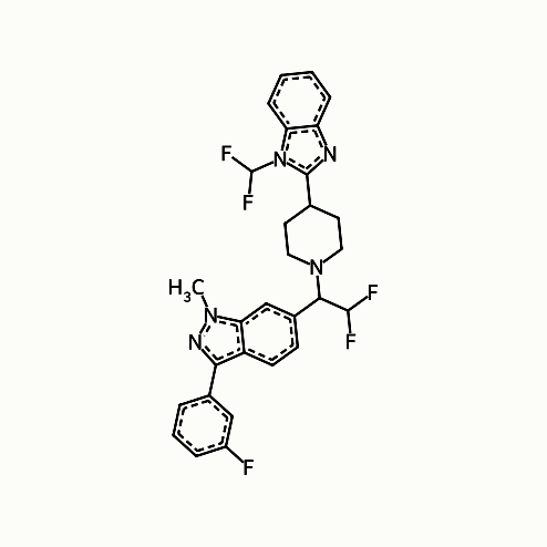 Cn1nc(-c2cccc(F)c2)c2ccc(C(C(F)F)N3CCC(c4nc5ccccc5n4C(F)F)CC3)cc21